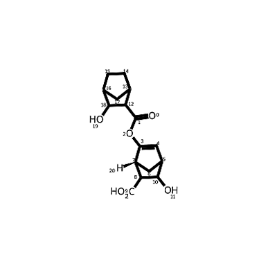 O=C(OC1=CC2C[C@@H]1C(C(=O)O)C2O)C1C2CCC(C2)C1O